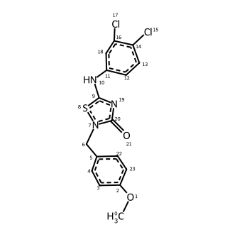 COc1ccc(Cn2sc(Nc3ccc(Cl)c(Cl)c3)nc2=O)cc1